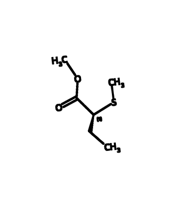 CC[C@H](SC)C(=O)OC